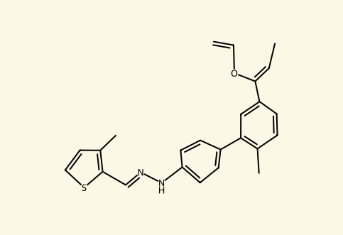 C=CO/C(=C\C)c1ccc(C)c(-c2ccc(N/N=C/c3sccc3C)cc2)c1